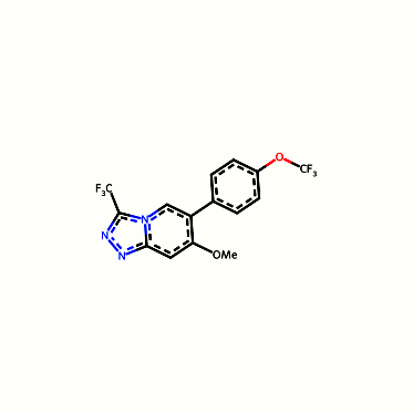 COc1cc2nnc(C(F)(F)F)n2cc1-c1ccc(OC(F)(F)F)cc1